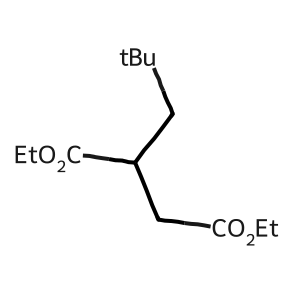 CCOC(=O)CC(CC(C)(C)C)C(=O)OCC